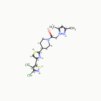 Cc1cc(C)n(CC(=O)N2CCC(c3nc(-c4snc(Cl)c4Cl)cs3)CC2)n1